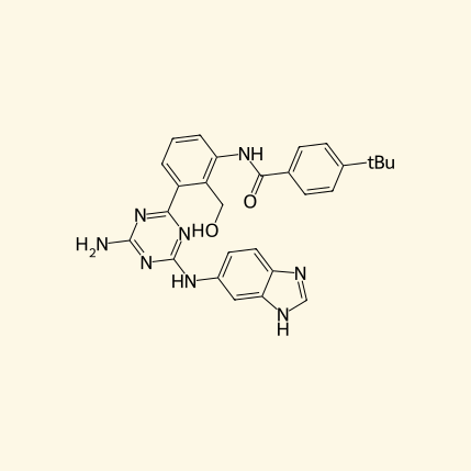 CC(C)(C)c1ccc(C(=O)Nc2cccc(-c3nc(N)nc(Nc4ccc5nc[nH]c5c4)n3)c2CO)cc1